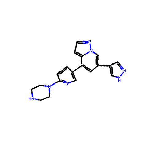 c1cc2c(-c3ccc(N4CCNCC4)nc3)cc(-c3cn[nH]c3)cn2n1